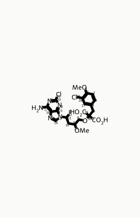 COc1ccc(CC(OCC(CC(F)n2cnc3c(N)nc(Cl)nc32)OC)(C(=O)O)C(=O)O)cc1Cl